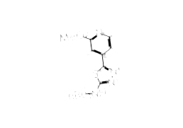 CCCCNc1nnc(-c2ccnc(OC)c2)s1